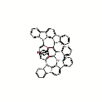 Fc1cccc(F)c1-c1c(-n2c3ccccc3c3ccc4c5ccccc5n(-c5ccccc5)c4c32)cc(C(F)(F)F)cc1-n1c2ccccc2c2ccc3c4ccccc4n(-c4ccccc4)c3c21